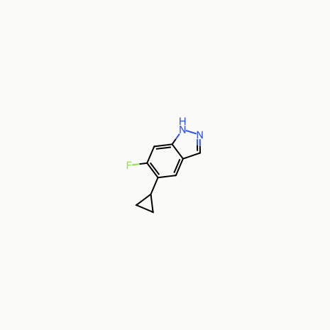 Fc1cc2[nH]ncc2cc1C1CC1